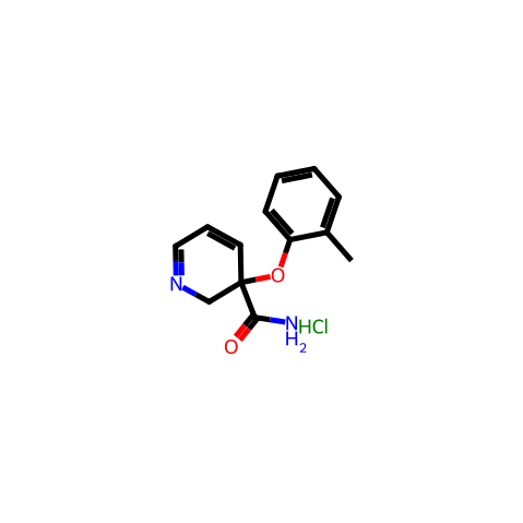 Cc1ccccc1OC1(C(N)=O)C=CC=NC1.Cl